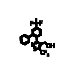 CC(F)(F)c1ccc(-c2nsc(C(F)(F)F)c2CO)c(-c2ccccc2)c1